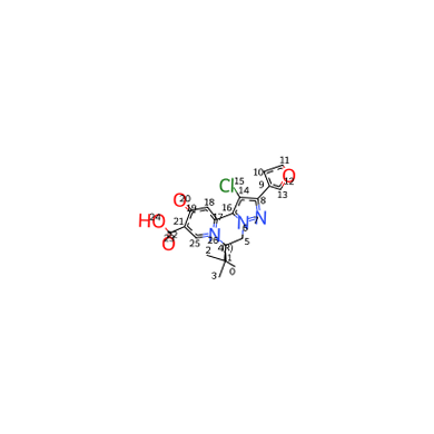 CC(C)(C)[C@@H]1Cn2nc(-c3ccoc3)c(Cl)c2-c2cc(=O)c(C(=O)O)cn21